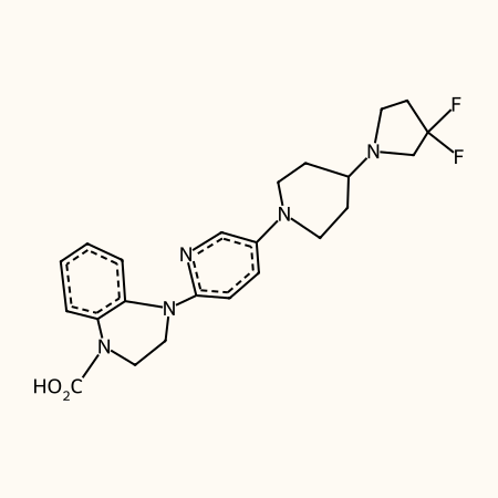 O=C(O)N1CCN(c2ccc(N3CCC(N4CCC(F)(F)C4)CC3)cn2)c2ccccc21